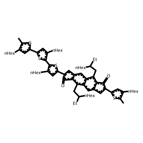 CCCCCCc1cc(-c2cc(CCCCCC)c(-c3sc(-c4cc5cc6c(CC(CC)CCCCCC)c7c(=O)c(-c8cc(CCCCCC)c(C)s8)cc7cc6c(CC(CC)CCCCCC)c5c4=O)cc3CCCCCC)s2)sc1C